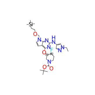 CCn1cc(Nc2nc(O[C@H]3CN(C(=O)OC(C)(C)C)CC[C@H]3F)c3ccn(COCC[Si](C)(C)C)c3n2)cn1